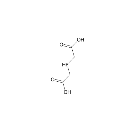 O=C(O)CPCC(=O)O